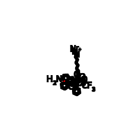 [N-]=[N+]=NCCCCCCOC(=O)N(OC(=O)C(F)(F)F)C(Cc1ccc(N)cc1)P(=O)(Oc1ccccc1)Oc1ccccc1